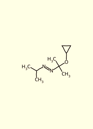 CC(C)N=NC(C)(C)OC1CC1